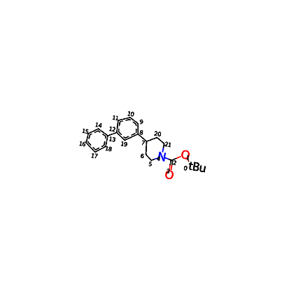 CC(C)(C)OC(=O)N1CCC(c2cccc(-c3ccccc3)c2)CC1